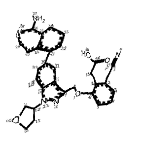 N#Cc1cccc(OCc2nn(C3CCOC3)c3ccc(-c4cccc5c(N)nccc45)cc23)c1CC(=O)O